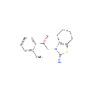 COc1ccccc1C(=O)Cn1c2c(sc1=N)CCCC2